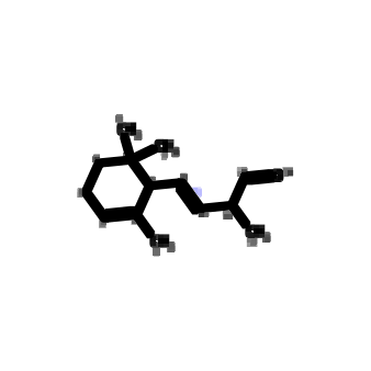 CC1=CCCC(C)(C)C1/C=C/C(C)C=O